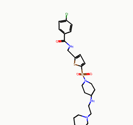 O=C(NCc1ccc(S(=O)(=O)N2CCC(NCCN3CCCCC3)CC2)s1)c1ccc(Cl)cc1